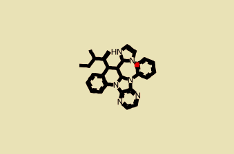 C=C(C(C)CC)C1c2ccccc2N2c3nccnc3N(c3ccccc3)C2C1C1NC=CN1C